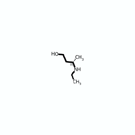 CCN[C@@H](C)CCO